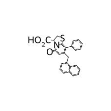 O=C(O)C1CSc2c(-c3ccccc3)c(Cc3cccc4ccccc34)cc(=O)n21